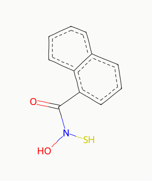 O=C(c1cccc2ccccc12)N(O)S